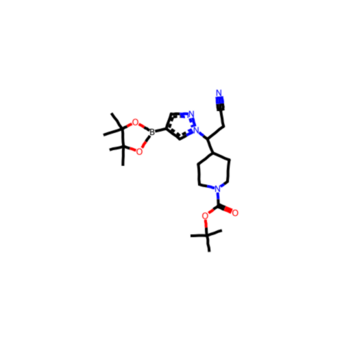 CC(C)(C)OC(=O)N1CCC(C(CC#N)n2cc(B3OC(C)(C)C(C)(C)O3)cn2)CC1